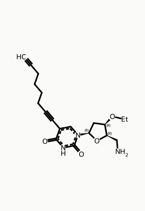 C#CCCCCC#Cc1cn([C@H]2C[C@@H](OCC)[C@@H](CN)O2)c(=O)[nH]c1=O